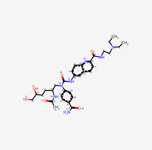 CCN(CC)CCNC(=O)c1ccc2cc(NC(=O)N(CC(CCC(O)CO)NC(C)=O)c3ccc(C(N)=O)cc3)ccc2n1